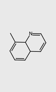 CC1=CC=CC2C=CC=NC12